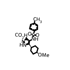 CO[C@H]1CC[C@@H](c2[nH]nc(C(=O)O)c2NS(=O)(=O)c2ccc(C)cc2)CC1